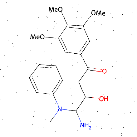 COc1cc(C(=O)CC(O)C(N)N(C)c2ccccc2)cc(OC)c1OC